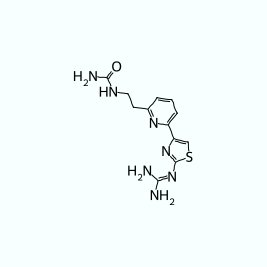 NC(=O)NCCc1cccc(-c2csc(N=C(N)N)n2)n1